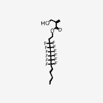 C=C(CO)C(=O)OCCC(F)(F)C(F)(F)C(F)(F)C(F)(F)C(F)(F)C(F)(F)CCCCC